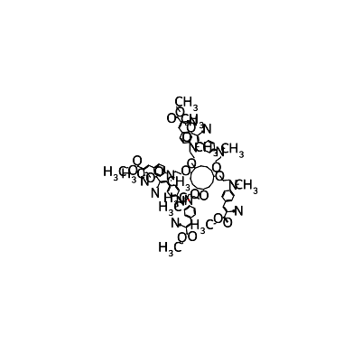 CCOC(=O)/C(C#N)=C/c1ccc(N(C)CCOC2CCC(OCCN(C)c3ccc(/C=C(\C#N)C(=O)OCC)cc3)C(OCCN(C)c3ccc(/C=C(\C#N)C(=O)OCC)cc3)CCC(OCCN(C)c3ccc(/C=C(\C#N)C(=O)OCC)cc3)C(OCCN(C)c3ccc(/C=C(\C#N)C(=O)OCC)cc3)CCC2OCCN(C)c2ccc(/C=C(\C#N)C(=O)OCC)cc2)cc1